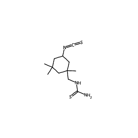 CC1(C)CC(N=C=S)CC(C)(CNC(N)=S)C1